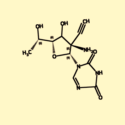 C#C[C@@]1(N)C(O)[C@@H]([C@H](C)O)O[C@H]1n1cnc(=O)[nH]c1=O